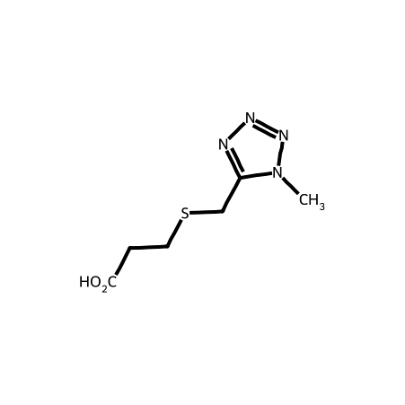 Cn1nnnc1CSCCC(=O)O